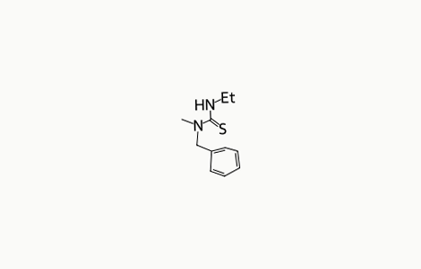 CCNC(=S)N(C)Cc1ccccc1